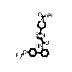 CCCC(=O)N1CCC(c2nc(C(=O)Nc3ccccc3-c3ccc(OC(F)(F)F)cc3)cs2)CC1